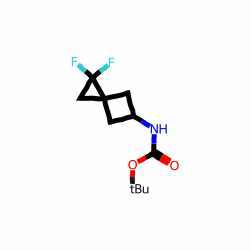 CC(C)(C)OC(=O)NC1CC2(C1)CC2(F)F